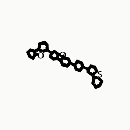 c1ccc2c(c1)oc1c(-c3ccc4c(c3)oc3cc(-c5ccc(-c6ccc7sc8ccccc8c7c6)cc5)ccc34)cccc12